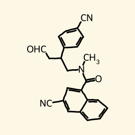 CN(CC(CC=O)c1ccc(C#N)cc1)C(=O)c1cc(C#N)cc2ccccc12